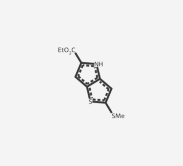 CCOC(=O)c1cc2sc(SC)cc2[nH]1